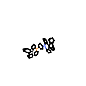 c1ccc([Si]2(c3ccccc3)c3ccccc3P(c3ccc(N4c5ccccc5C5(c6ccccc6-c6ccccc65)c5ccccc54)cc3)c3ccccc32)cc1